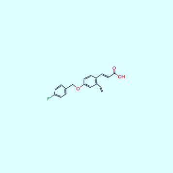 C=Cc1cc(OCc2ccc(F)cc2)ccc1/C=C/C(=O)O